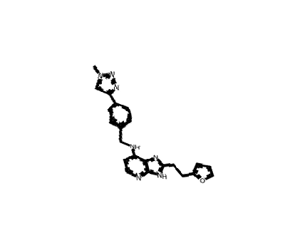 Cn1cc(-c2ccc(CNc3ccnc4[nH]c(CCc5ccco5)nc34)cc2)nn1